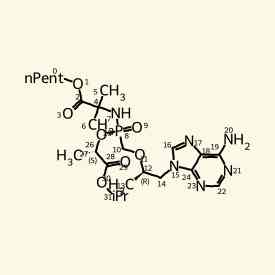 CCCCCOC(=O)C(C)(C)NP(=O)(CO[C@H](C)Cn1cnc2c(N)ncnc21)O[C@@H](C)C(=O)OC(C)C